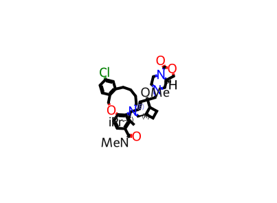 CNC(=O)c1ccc2c(c1)N(C[C@@H]1CCC1C(/C=C/C[C@H](C)C(C)C)(CN1CCN3C(=O)OC[C@@H]3C1)OC)CCCCc1cc(Cl)ccc1CO2